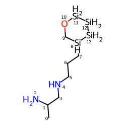 CC(N)CNCCC[SiH]1CO[SiH2][SiH2][SiH2]1